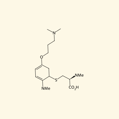 CNC1=CC=C(OCCCN(C)C)CC1SC[C@@H](NC)C(=O)O